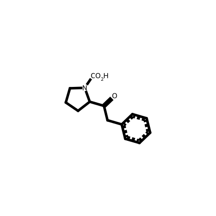 O=C(Cc1ccccc1)C1CCCN1C(=O)O